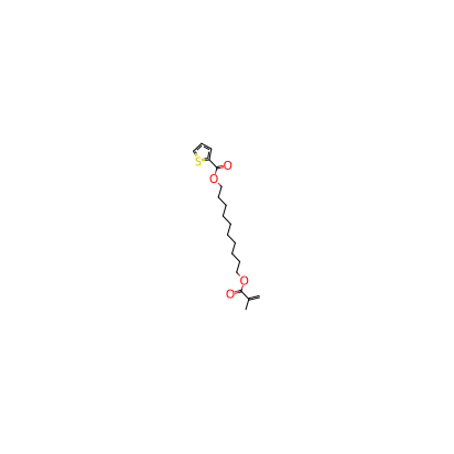 C=C(C)C(=O)OCCCCCCCCCCOC(=O)c1cccs1